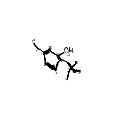 CC(C)(C)c1ccc(CI)cc1O